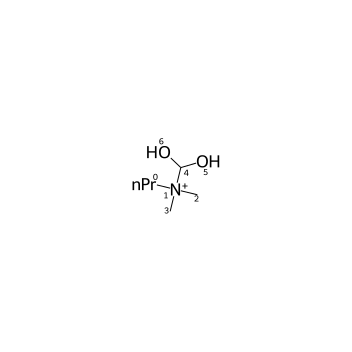 CCC[N+](C)(C)C(O)O